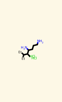 CCC(CC)C(C)C(N)CCCN.Cl.Cl